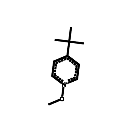 CO[n+]1ccc(C(C)(C)C)cc1